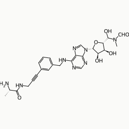 C[C@H](N)C(=O)NCC#Cc1cccc(CNc2ncnc3c2ncn3[C@@H]2O[C@H](C(O)N(C)C=O)[C@@H](O)[C@H]2O)c1